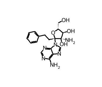 Nc1ncnc2c1ncn2[C@]1(CCc2ccccc2)O[C@H](CO)[C@@H](O)[C@@]1(N)O